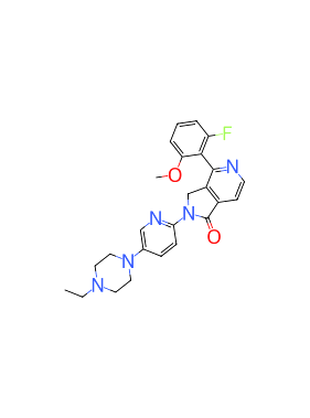 CCN1CCN(c2ccc(N3Cc4c(ccnc4-c4c(F)cccc4OC)C3=O)nc2)CC1